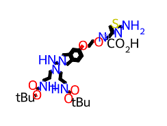 CC(C)(C)OC(=O)NCCCN(CCCNC(=O)OC(C)(C)C)C(=N)N1Cc2ccc(OCCO/N=C(\C(=O)O)c3csc(N)n3)cc2C1